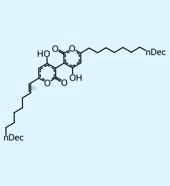 CCCCCCCCCCCCCCC/C=C/c1cc(O)c(-c2c(O)cc(CCCCCCCCCCCCCCCCC)oc2=O)c(=O)o1